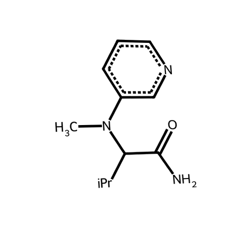 CC(C)C(C(N)=O)N(C)c1cccnc1